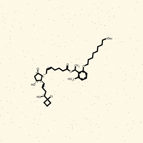 CCCCCCCCCCCCCCCCCCOc1cccc(C(=O)O)c1C(C)OC(=O)CCC/C=C\C[C@@H]1[C@@H](/C=C/C[C@H](O)C2(CC)CCC2)[C@H](O)C[C@H]1Cl